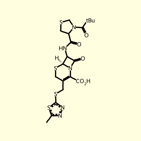 Cc1nnc(SCC2=C(C(=O)O)N3C(=O)C(NC(=O)C4CSCN4C(=O)C(C)(C)C)[C@@H]3SC2)s1